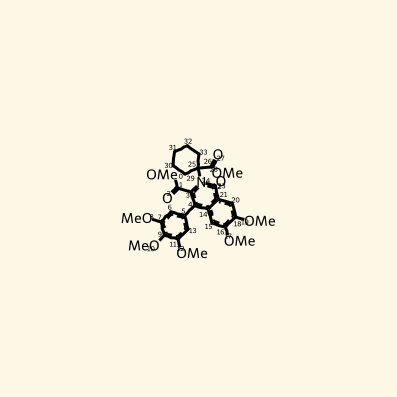 COC(=O)c1c(-c2cc(OC)c(OC)c(OC)c2)c2cc(OC)c(OC)cc2c(=O)n1C1(C(=O)OC)CCCCC1